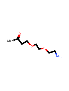 CNC(=O)CCOCCOCCN